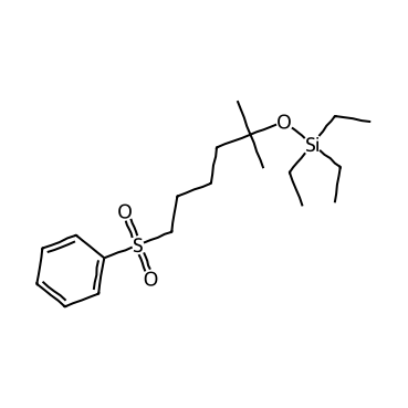 CC[Si](CC)(CC)OC(C)(C)CCCCS(=O)(=O)c1ccccc1